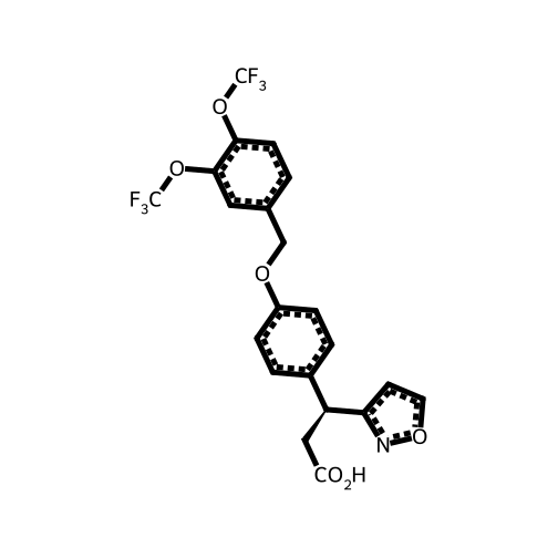 O=C(O)C[C@@H](c1ccc(OCc2ccc(OC(F)(F)F)c(OC(F)(F)F)c2)cc1)c1ccon1